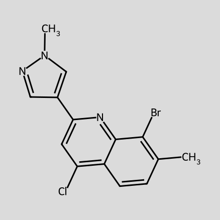 Cc1ccc2c(Cl)cc(-c3cnn(C)c3)nc2c1Br